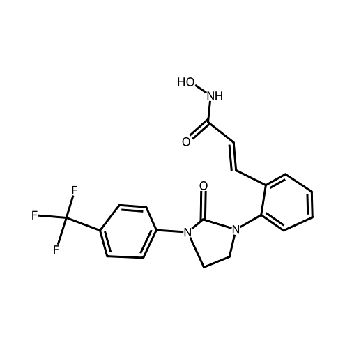 O=C(/C=C/c1ccccc1N1CCN(c2ccc(C(F)(F)F)cc2)C1=O)NO